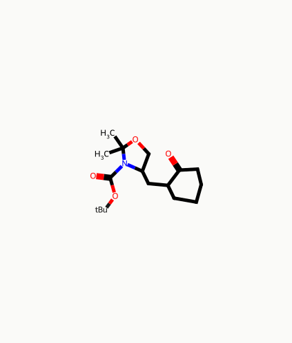 CC(C)(C)OC(=O)N1C(CC2CCCCC2=O)COC1(C)C